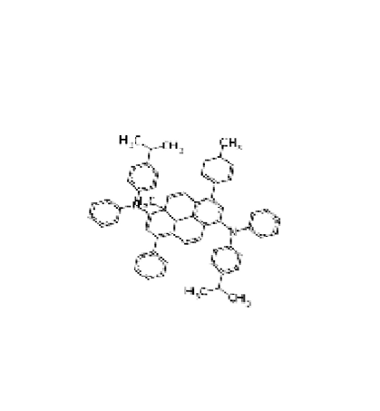 CC1C=CC(c2cc(N(c3ccccc3)c3ccc(C(C)C)cc3)c3c4c2C=CC2(C)C(N(c5ccccc5)c5ccc(C(C)C)cc5)=CC(c5ccccc5)=C(C=C3)C42)=CC1